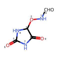 O=CNOC1NC(=O)NC1=O